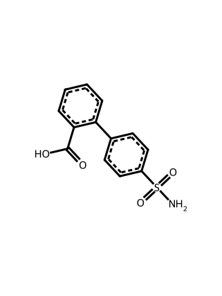 NS(=O)(=O)c1ccc(-c2ccccc2C(=O)O)cc1